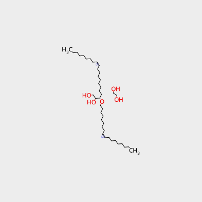 CCCCCCCC/C=C\CCCCCCCCOC(CCCCCCCC/C=C\CCCCCCCC)C(O)CO.OCCO